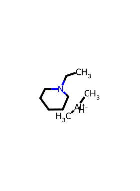 CCN1CCCCC1.[CH3][Al+][CH3].[H-]